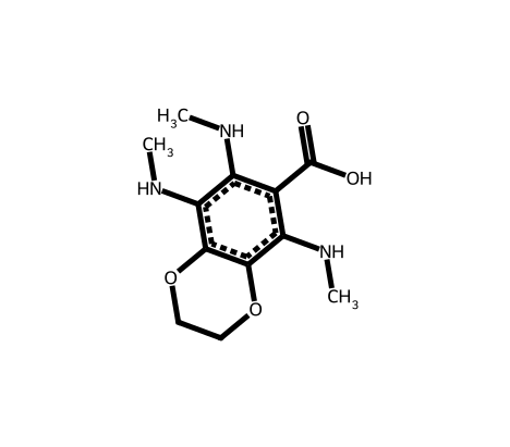 CNc1c(NC)c(C(=O)O)c(NC)c2c1OCCO2